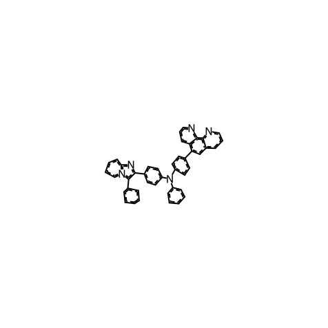 c1ccc(-c2c(-c3ccc(N(c4ccccc4)c4ccc(-c5cc6cccnc6c6ncccc56)cc4)cc3)nc3ccccn23)cc1